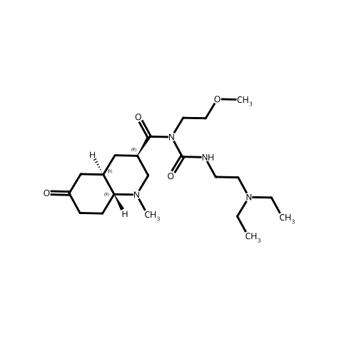 CCN(CC)CCNC(=O)N(CCOC)C(=O)[C@@H]1C[C@@H]2CC(=O)CC[C@H]2N(C)C1